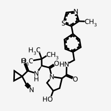 Cc1ncsc1-c1ccc(CNC(=O)C2CC(O)CN2C(=O)[C@@H](NC(=O)C2(C#N)CC2)C(C)(C)C)cc1